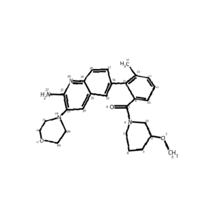 COC1CCCN(C(=O)c2cccc(C)c2-c2ccc3nc(N)c(N4CCOCC4)cc3c2)C1